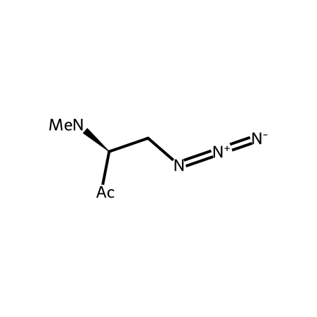 CN[C@@H](CN=[N+]=[N-])C(C)=O